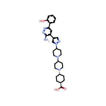 Nc1nnc(-c2ccccc2O)cc1-c1cnn(C2CCN(C3CCN([C@H]4CC[C@H](C(=O)O)CC4)CC3)CC2)c1